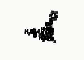 COC(=O)CCNC(=O)[C@@H]1OP(=O)(NCC(=O)OCc2ccccc2)OCC1(C)C